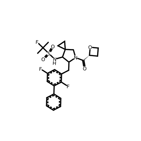 CC(C)(F)S(=O)(=O)NC1C(Cc2cc(F)cc(-c3ccccc3)c2F)N(C(=O)[C@H]2CCO2)CC12CC2